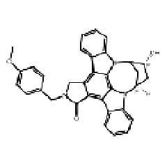 COc1ccc(CN2Cc3c(c4c5ccccc5n5c4c4c3c3ccccc3n4C3C[C@H]5C[C@H]3O)C2=O)cc1